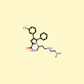 CN(C)CCNCCC1CNC(=O)c2cc(-c3cccc(Cl)c3)c(-c3ccccc3)n21